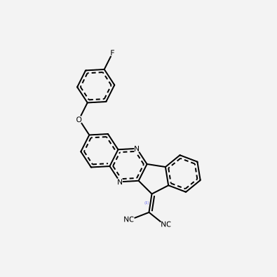 [C-]#[N+]/C(C#N)=C1\c2ccccc2-c2nc3cc(Oc4ccc(F)cc4)ccc3nc21